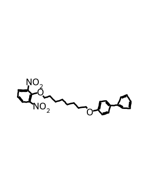 O=[N+]([O-])c1cccc([N+](=O)[O-])c1OCCCCCCCCOc1ccc(-c2ccccc2)cc1